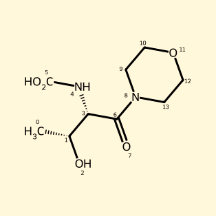 C[C@@H](O)[C@H](NC(=O)O)C(=O)N1CCOCC1